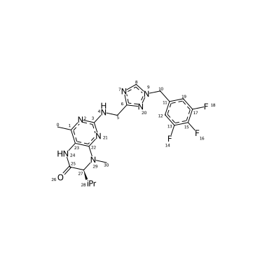 Cc1nc(NCc2ncn(Cc3cc(F)c(F)c(F)c3)n2)nc2c1NC(=O)[C@H](C(C)C)N2C